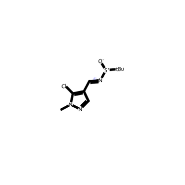 Cn1ncc(/C=N/[S+]([O-])C(C)(C)C)c1Cl